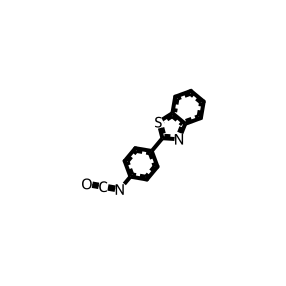 O=C=Nc1ccc(-c2nc3ccccc3s2)cc1